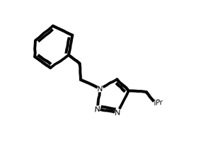 CC(C)Cc1cn(CCc2ccccc2)nn1